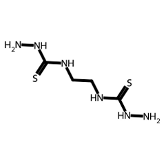 NNC(=S)NCCNC(=S)NN